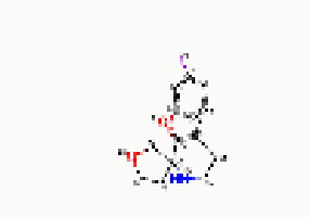 Ic1ccc2c3c(oc2c1)C1(CCOC1)NCC3